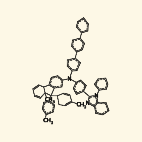 CC1=CCC(C2(c3ccc(C)cc3)c3cc(N(c4ccc(-c5ccc(-c6ccccc6)cc5)cc4)c4ccc(-c5nc6ccccc6n5-c5ccccc5)cc4)ccc3C3C=CC=CC32C)C=C1